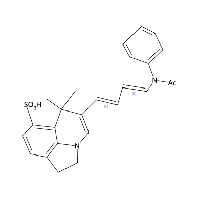 CC(=O)N(/C=C/C=C/C1=CN2CCc3ccc(S(=O)(=O)O)c(c32)C1(C)C)c1ccccc1